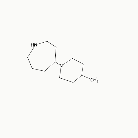 CC1CCN(C2CCCNCC2)CC1